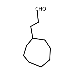 O=CCCC1CCCCCCC1